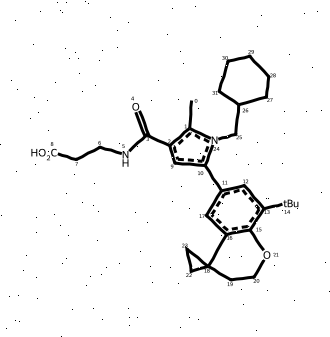 Cc1c(C(=O)NCCC(=O)O)cc(-c2cc(C(C)(C)C)c3c(c2)C2(CCO3)CC2)n1CC1CCCCC1